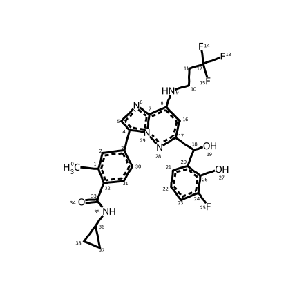 Cc1cc(-c2cnc3c(NCCC(F)(F)F)cc(C(O)c4cccc(F)c4O)nn23)ccc1C(=O)NC1CC1